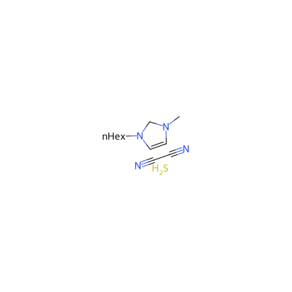 CCCCCCN1C=CN(C)C1.N#CC#N.S